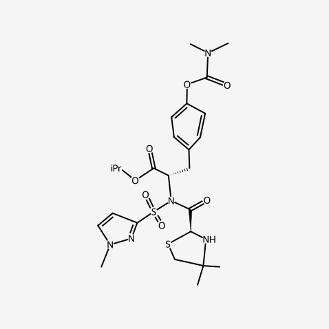 CC(C)OC(=O)[C@H](Cc1ccc(OC(=O)N(C)C)cc1)N(C(=O)[C@H]1NC(C)(C)CS1)S(=O)(=O)c1ccn(C)n1